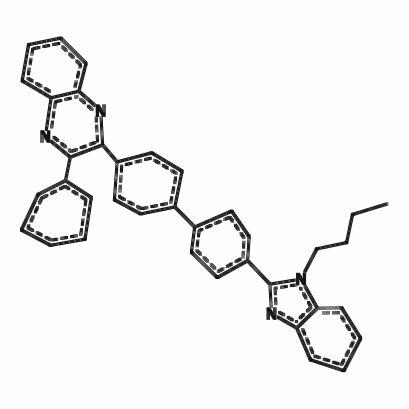 CCCCn1c(-c2ccc(-c3ccc(-c4nc5ccccc5nc4-c4ccccc4)cc3)cc2)nc2ccccc21